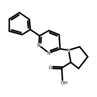 O=C(O)C1CCCN1c1ccc(-c2ccccc2)nn1